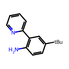 CC(C)(C)c1ccc(N)c(-c2ccccn2)c1